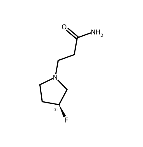 NC(=O)CCN1CC[C@H](F)C1